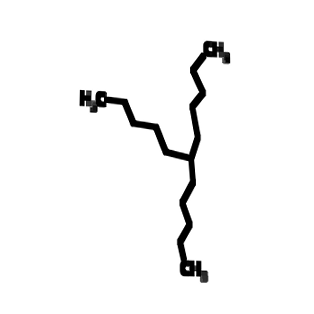 CCCCCC(CCCCC)CCCCC